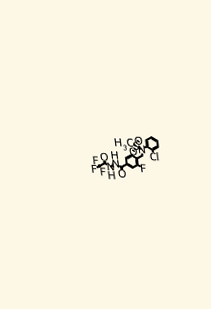 CS(=O)(=O)N(Cc1ccc(C(=O)NNC(=O)C(F)(F)F)cc1F)c1ccccc1Cl